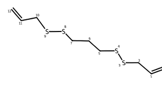 C=CCSSCCCSSCC=C